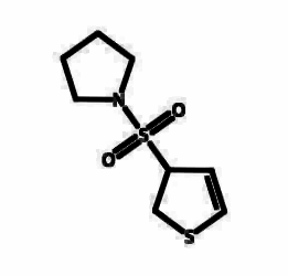 O=S(=O)(C1C=CSC1)N1CCCC1